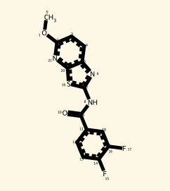 COc1ccc2nc(NC(=O)c3ccc(F)c(F)c3)sc2n1